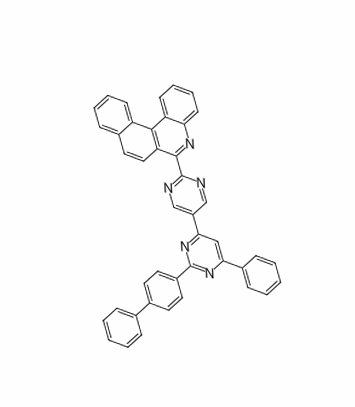 c1ccc(-c2ccc(-c3nc(-c4ccccc4)cc(-c4cnc(-c5nc6ccccc6c6c5ccc5ccccc56)nc4)n3)cc2)cc1